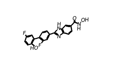 O=C(NO)c1ccc2nc(-c3ccc(-c4cc(F)ccc4O)c(F)c3)[nH]c2c1